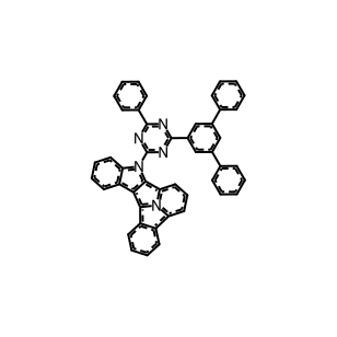 c1ccc(-c2cc(-c3ccccc3)cc(-c3nc(-c4ccccc4)nc(-n4c5ccccc5c5c4c4cccc6c7ccccc7c5n64)n3)c2)cc1